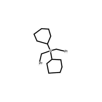 CC(C)C[Si](CC(C)C)(C1CCCCC1)C1CCCCC1